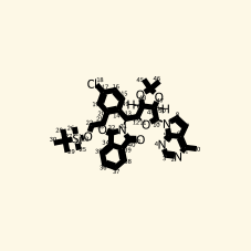 Cc1ncnc2c1ccn2[C@@H]1O[C@H]([C@@H](c2ccc(Cl)cc2CCO[Si](C)(C)C(C)(C)C)N2C(=O)c3ccccc3C2=O)[C@H]2OC(C)(C)O[C@H]21